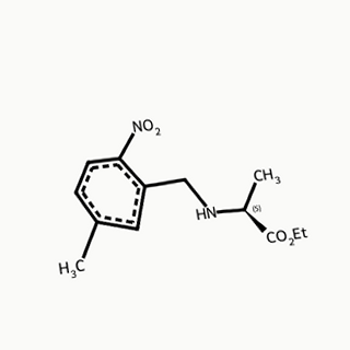 CCOC(=O)[C@H](C)NCc1cc(C)ccc1[N+](=O)[O-]